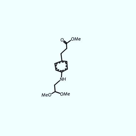 COC(=O)CCc1ccc(NCC(OC)OC)cc1